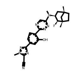 CN(c1cnc(-c2ccc(-c3nc(C#N)n(C)n3)cc2O)nn1)[C@H]1C[C@]2(C)CC[C@@](C)(C2)[C@H]1F